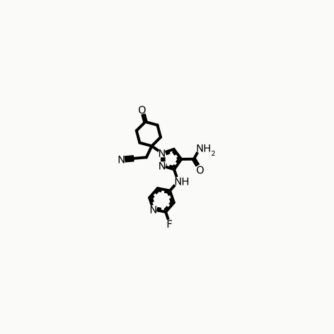 N#CCC1(n2cc(C(N)=O)c(Nc3ccnc(F)c3)n2)CCC(=O)CC1